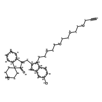 C#CCOCCOCCOCCOCCn1c(CN2C(=O)C3(CCNCC3)c3ccncc32)nc2cc(Cl)ccc21